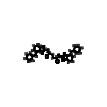 O=C(CCC(=O)Sc1nc2cccc(Cc3ccccc3)c2s1)Sc1nc2cccc(Cc3ccccc3)c2s1